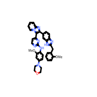 COc1ccccc1Cc1nc2ccc(-c3nc4ccccn4c3-c3ccnc(Nc4ccc(N5CCOCC5)cc4OC)n3)cc2[nH]1